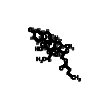 CCCC(=O)OCC(=O)[C@@]1(OC(=O)CC)[C@H](C)C[C@H]2[C@@H]3CCC4=CC(=O)C=C[C@]4(C)[C@@]3(F)[C@@H](O)C[C@@]21C